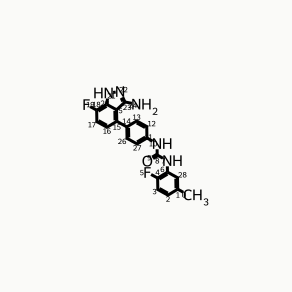 Cc1ccc(F)c(NC(=O)Nc2ccc(-c3ccc(F)c4[nH]nc(N)c34)cc2)c1